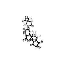 Cc1nnc(N[C@H](C)c2cccc(F)c2F)c2cc(N3CCC4(COC4)C3)cnc12